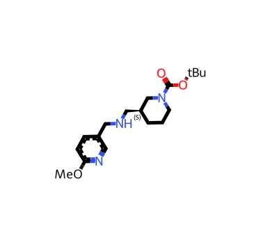 COc1ccc(CNC[C@@H]2CCCN(C(=O)OC(C)(C)C)C2)cn1